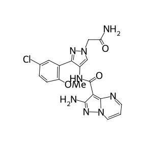 COc1ccc(Cl)cc1-c1nn(CC(N)=O)cc1NC(=O)c1c(N)nn2cccnc12